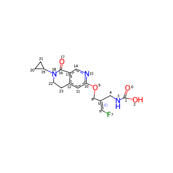 O=C(O)NC/C(=C\F)COc1cc2c(cn1)C(=O)N(C1CC1)CC2